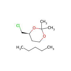 CC1(C)OCC[C@@H](CCl)O1.CCCCC